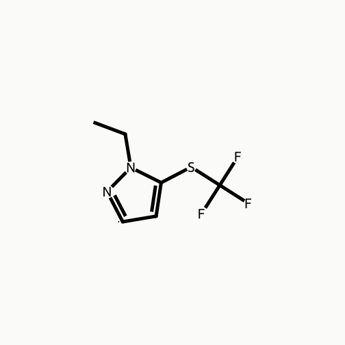 CCn1n[c]cc1SC(F)(F)F